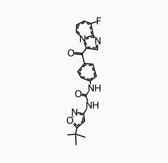 CC(C)(C)c1cc(NC(=O)Nc2ccc(C(=O)c3cnc4c(F)cccn34)cc2)no1